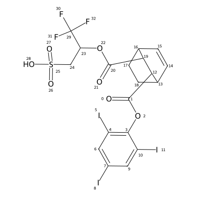 O=C(Oc1c(I)cc(I)cc1I)C1C2C=CC(CC2)C1C(=O)OC(CS(=O)(=O)O)C(F)(F)F